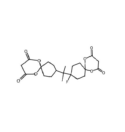 CC(C)(C1CCC2(CC1)OC(=O)CC(=O)O2)C1(F)CCC2(CC1)OC(=O)CC(=O)O2